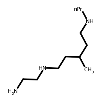 CCCNCCC(C)CCNCCN